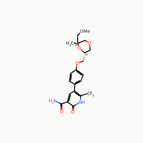 COC[C@]1(C)COC[C@H](COc2ccc(-c3cc(C(N)=O)c(=O)[nH]c3C(F)(F)F)cc2)O1